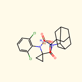 NC(=O)C12CC3CC(C1)C(NC(=O)C1(N(c4c(Cl)cccc4Cl)[SH](=O)=O)CC1)C(C3)C2